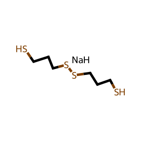 SCCCSSCCCS.[NaH]